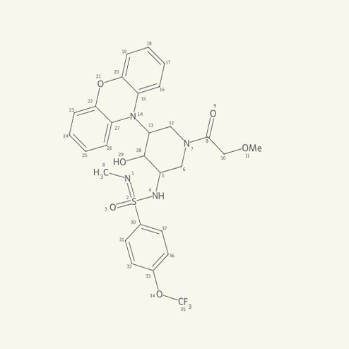 CN=S(=O)(NC1CN(C(=O)COC)CC(N2c3ccccc3Oc3ccccc32)C1O)c1ccc(OC(F)(F)F)cc1